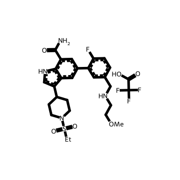 CCS(=O)(=O)N1CCC(c2c[nH]c3c(C(N)=O)cc(-c4cc(CNCCOC)ccc4F)cc23)CC1.O=C(O)C(F)(F)F